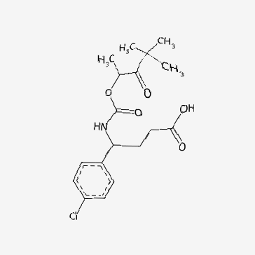 CC(OC(=O)NC(CCC(=O)O)c1ccc(Cl)cc1)C(=O)C(C)(C)C